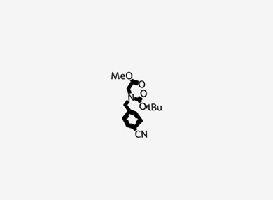 COC(=O)CN(Cc1ccc(C#N)cc1)C(=O)OC(C)(C)C